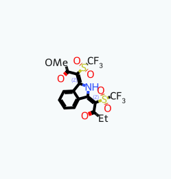 CCC(=O)/C(=c1/[nH]/c(=C(/C(=O)OC)S(=O)(=O)C(F)(F)F)c2ccccc12)S(=O)(=O)C(F)(F)F